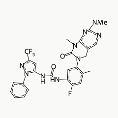 CNc1ncc2c(n1)N(C)C(=O)N(c1cc(NC(=O)Nc3cc(C(F)(F)F)nn3-c3ccccc3)c(F)cc1C)C2